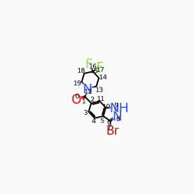 O=C(c1ccc2c(Br)n[nH]c2c1)N1CCC(F)(F)CC1